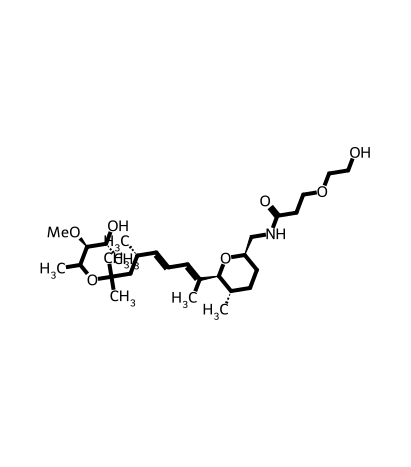 CO[C@H](C(C)OC(C)(C)C[C@H](C)/C=C/C=C(\C)[C@H]1O[C@@H](CNC(=O)CCOCCO)CC[C@@H]1C)[C@@H](C)O